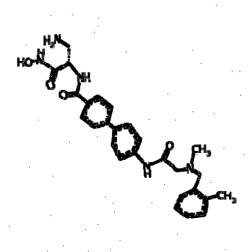 Cc1ccccc1CN(C)CC(=O)Nc1ccc(-c2ccc(C(=O)N[C@@H](CN)C(=O)NO)cc2)cc1